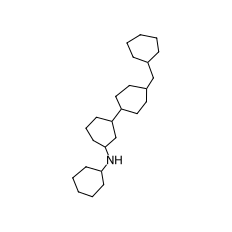 C1CCC(CC2CCC(C3CCCC(NC4CCCCC4)C3)CC2)CC1